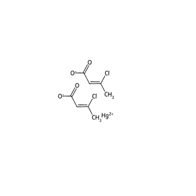 C/C(Cl)=C/C(=O)[O-].C/C(Cl)=C/C(=O)[O-].[Hg+2]